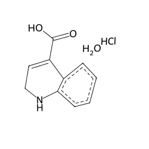 Cl.O.O=C(O)C1=CCNc2ccccc21